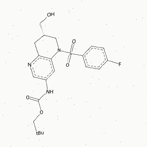 CC(C)(C)COC(=O)Nc1cnc2c(c1)N(S(=O)(=O)c1ccc(F)cc1)C[C@@H](CO)C2